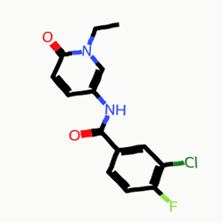 CCn1cc(NC(=O)c2ccc(F)c(Cl)c2)ccc1=O